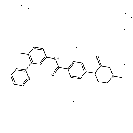 Cc1ccc(NC(=O)c2ccc(N3CCN(C)CC3=O)cc2)cc1-c1ccccn1